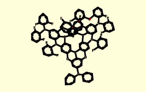 Fc1ccc2sc3c(c2c1)Oc1cc(N(c2c(F)cccc2F)c2c(F)cccc2F)cc2c1B3c1cc3c(cc1N2c1c(F)cccc1F)Oc1cc(N(c2ccccc2)c2ccccc2)cc2c1B3c1cc3c(cc1O2)N(c1c(F)cccc1F)c1cc(N(c2c(F)cccc2F)c2c(F)cccc2F)cc2c1B3c1sc3ccc(F)cc3c1N2c1c(F)cccc1F